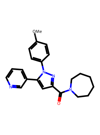 COc1ccc(-n2nc(C(=O)N3CCCCCC3)cc2-c2cccnc2)cc1